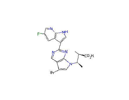 CC(C)c1cn([C@H](C)[C@@H](C)C(=O)O)c2nc(-c3c[nH]c4ncc(F)cc34)ncc12